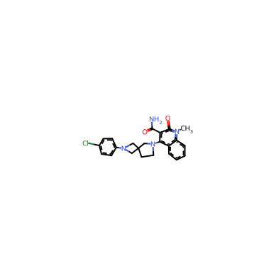 Cn1c(=O)c(C(N)=O)c(N2CCC3(CN(c4ccc(Cl)cc4)C3)C2)c2ccccc21